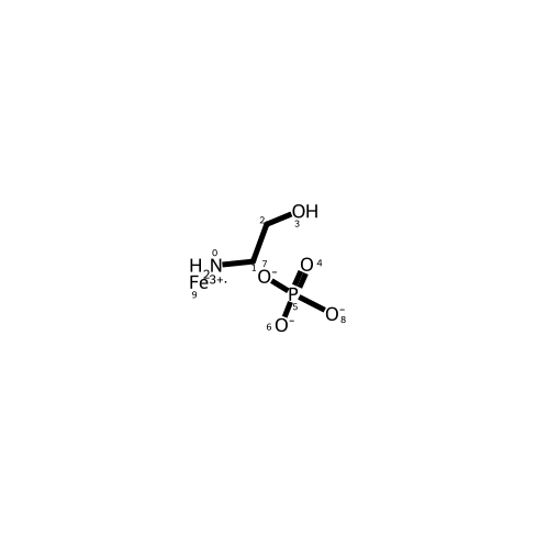 NCCO.O=P([O-])([O-])[O-].[Fe+3]